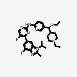 CCO[C@H](c1ccc(Nc2ncc(F)c(-c3cc(F)c4nc(C)n(C(C)C)c4c3)n2)nc1)C1CCN(CC)CC1